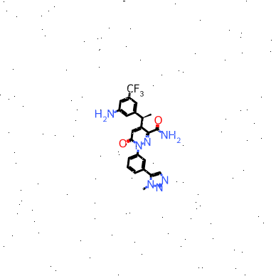 C[C@H](c1cc(N)cc(C(F)(F)F)c1)c1cc(=O)n(-c2cccc(-c3cnnn3C)c2)nc1C(N)=O